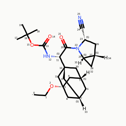 [CH2]CO[C@]12C[C@H]3C[C@H](C1)C[C@@]([C@H](NC(=O)OC(C)(C)C)C(=O)N1[C@H](C#N)C[C@@H]4C[C@@H]41)(C3)C2